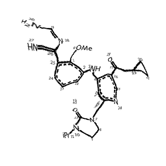 COc1c(Nc2cc(N3CCN(C(C)C)C3=O)ncc2C(=O)C2CC2)cccc1C(=N)/N=C\N